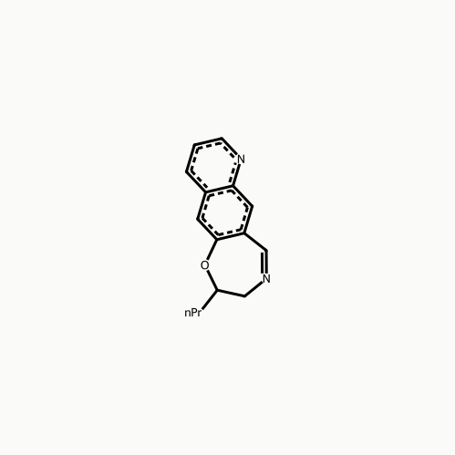 CCCC1CN=Cc2cc3ncccc3cc2O1